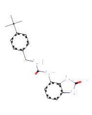 CC(C)(C)c1ccc(CNC(=O)Nc2cccc3c2[N]C(=O)N3)cc1